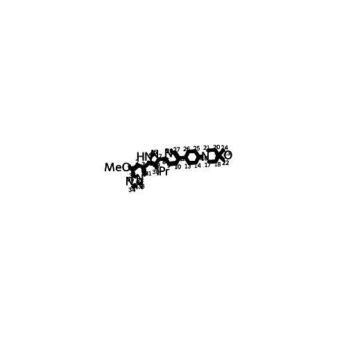 COc1cc(-c2[nH]nc(-c3ccc(C4CCC(N5CCC6(CC5)COC6)CC4)cn3)c2C(C)C)cn2ncnc12